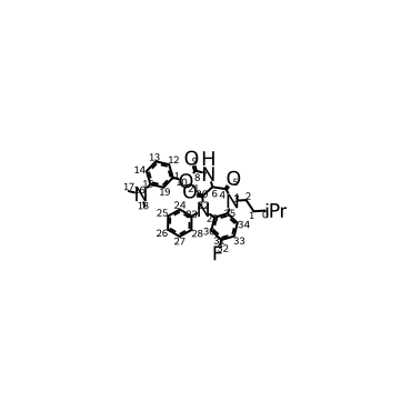 CC(C)CCN1C(=O)C(NC(=O)Oc2cccc(N(C)C)c2)C(=O)N(c2ccccc2)c2cc(F)ccc21